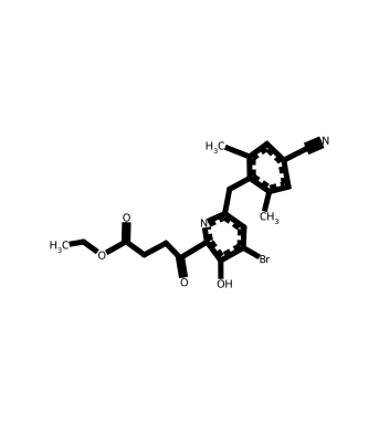 CCOC(=O)CCC(=O)c1nc(Cc2c(C)cc(C#N)cc2C)cc(Br)c1O